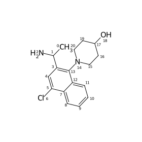 CC(N)c1cc(Cl)c2ccccc2c1N1CCC(O)CC1